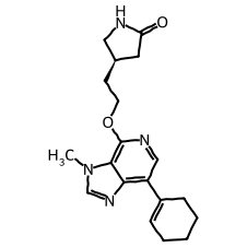 Cn1cnc2c(C3=CCCCC3)cnc(OCC[C@H]3CNC(=O)C3)c21